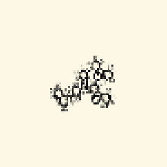 c1cc(-c2cccc3c2oc2ccccc23)cc(N(c2ccc(-c3cccc4ccccc34)cc2)c2ccc3c(c2)oc2ccccc23)c1